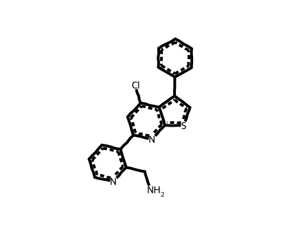 NCc1ncccc1-c1cc(Cl)c2c(-c3ccccc3)csc2n1